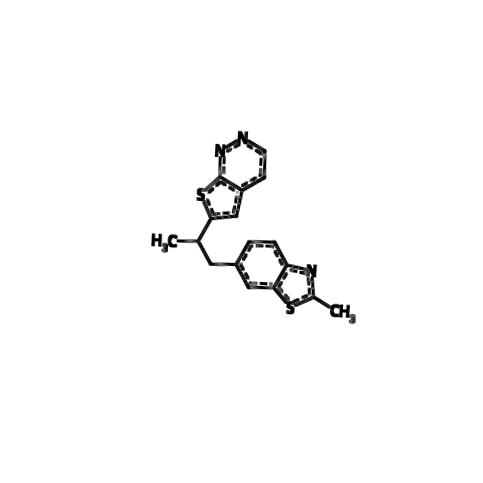 Cc1nc2ccc(CC(C)c3cc4ccnnc4s3)cc2s1